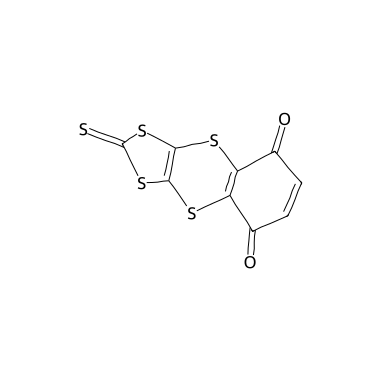 O=c1ccc(=O)c2sc3sc(=S)sc3sc1=2